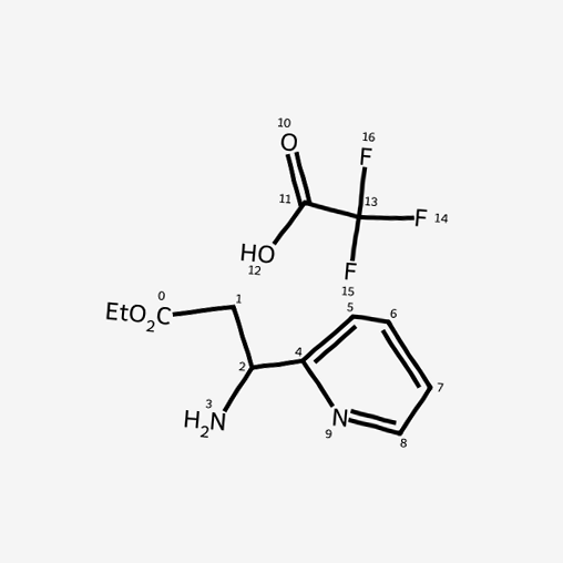 CCOC(=O)CC(N)c1ccccn1.O=C(O)C(F)(F)F